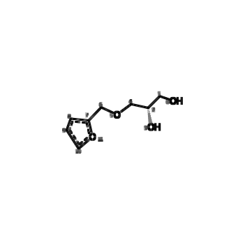 OC[C@H](O)COCc1ccco1